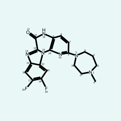 CN1CCCN(c2ccc3[nH]c(=O)c4nc5cc(F)c(F)cc5n4c3n2)CC1